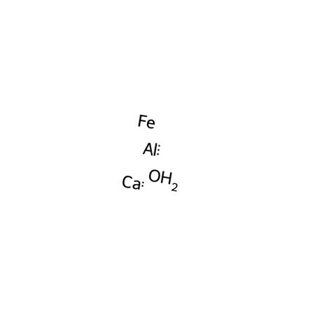 O.[Al].[Ca].[Fe]